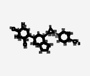 O=c1[nH]cc(-c2cc([C@H]3C[C@@H]3c3ccc(C(F)(F)F)nc3)c3nccn3n2)c(=O)[nH]1